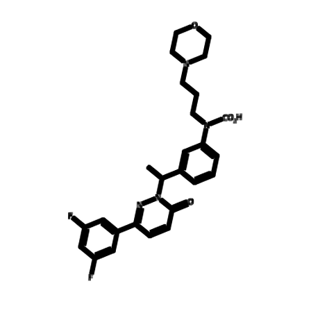 CC(c1cccc(N(CCCN2CCOCC2)C(=O)O)c1)n1nc(-c2cc(F)cc(F)c2)ccc1=O